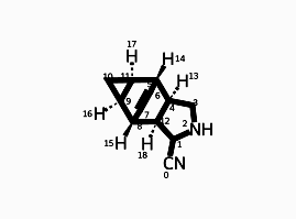 N#CC1NC[C@@H]2[C@@H]3C=C[C@@H]([C@H]4C[C@@H]34)[C@H]12